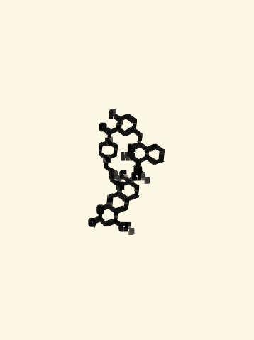 CC1(C)CCc2cc3c(C(F)(F)F)cc(=O)oc3cc2N1CCCN1CCN(C(=O)c2cc(Cc3n[nH]c(=O)c4ccccc34)ccc2F)CC1